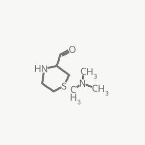 CN(C)C.O=CC1CSCCN1